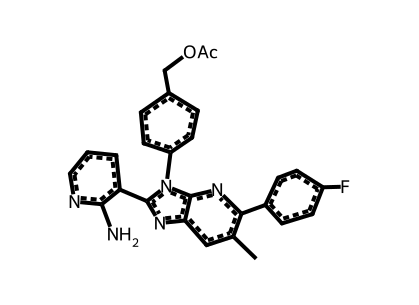 CC(=O)OCc1ccc(-n2c(-c3cccnc3N)nc3cc(C)c(-c4ccc(F)cc4)nc32)cc1